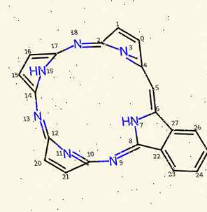 C1=Cc2nc1cc1[nH]c(nc3nc(nc4ccc(n2)[nH]4)C=C3)c2ccccc12